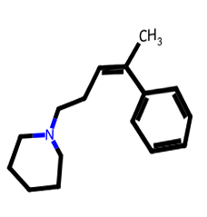 CC(=CCCN1CCCCC1)c1ccccc1